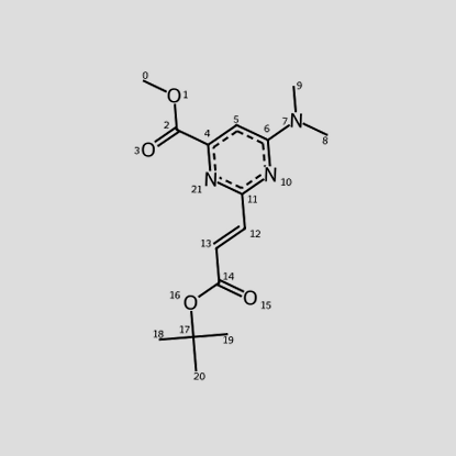 COC(=O)c1cc(N(C)C)nc(/C=C/C(=O)OC(C)(C)C)n1